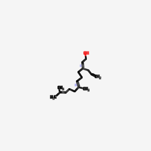 C=CC/C(=C\CO)CC/C=C(\C)CCC=C(C)C